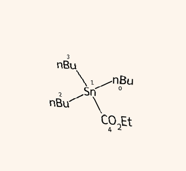 CCC[CH2][Sn]([CH2]CCC)([CH2]CCC)[C](=O)OCC